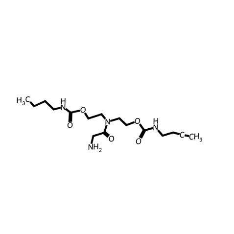 CCCCNC(=O)OCCN(CCOC(=O)NCCCC)C(=O)CN